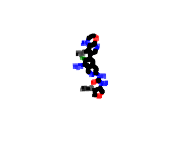 CO[C@@H]1COC[C@H]1NC(=O)Nc1cc2cc(-c3cnc4c(c3C)NCCO4)c(F)c(N)c2cn1